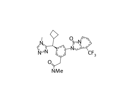 CNC(=O)Cc1cc([C@@H](c2nncn2C)C2CCC2)cc(-n2cc3c(C(F)(F)F)cccn3c2=O)c1